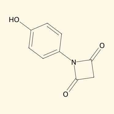 O=C1CC(=O)N1c1ccc(O)cc1